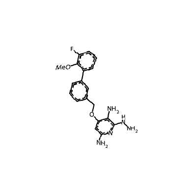 COc1c(F)cccc1-c1cccc(COc2cc(N)nc(NN)c2N)c1